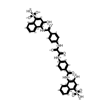 O=C(Nc1ccc(C(=O)Nc2c(O)cc(S(=O)(=O)O)c3ccccc23)cc1)C(=O)Nc1ccc(C(=O)Nc2c(O)cc(S(=O)(=O)O)c3ccccc23)cc1